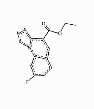 CCOC(=O)c1cc2ccc(F)cc2n2cnnc12